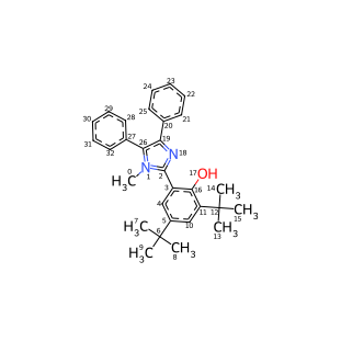 Cn1c(-c2cc(C(C)(C)C)cc(C(C)(C)C)c2O)nc(-c2ccccc2)c1-c1ccccc1